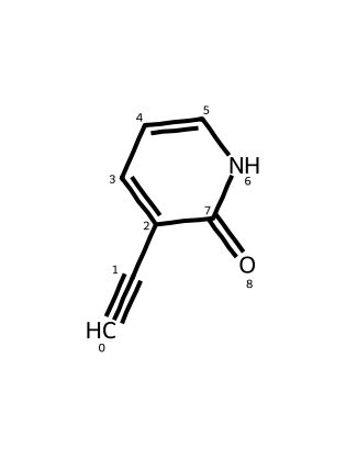 C#Cc1ccc[nH]c1=O